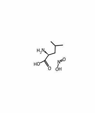 CC(C)C[C@H](N)C(=O)O.O=NO